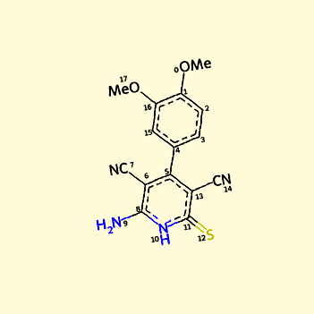 COc1ccc(-c2c(C#N)c(N)[nH]c(=S)c2C#N)cc1OC